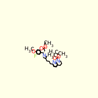 CCOC(=O)C[C@@H](c1ccc(OC)c(F)c1)N1CC(CCCc2ccc3c(n2)N(C(=O)OC(C)(C)C)CCC3)C1